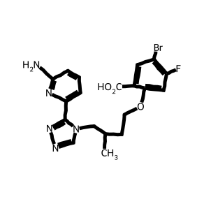 CC(CCOc1cc(F)c(Br)cc1C(=O)O)Cn1cnnc1-c1cccc(N)n1